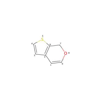 C1=Cc2ccsc2CO1